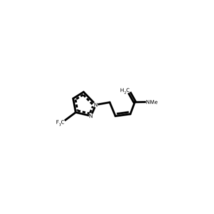 C=C(/C=C\Cn1ccc(C(F)(F)F)n1)NC